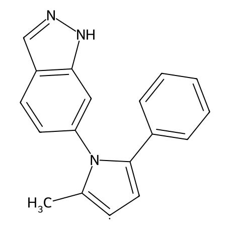 Cc1[c]cc(-c2ccccc2)n1-c1ccc2cn[nH]c2c1